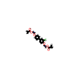 C=C(C)C(=O)O/C=C\Oc1ccc(-c2ccc(O/C=C\OC(=O)C(=C)C)c(F)c2)cc1